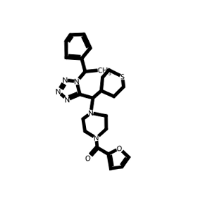 CC(c1ccccc1)n1nnnc1C(C1CCSCC1)N1CCN(C(=O)c2ccco2)CC1